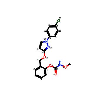 CONC(=O)Oc1ccccc1COc1ccn(-c2ccc(Cl)cc2)n1